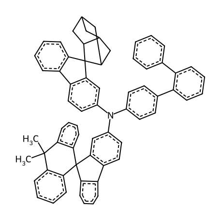 CC1(C)c2ccccc2C2(c3ccccc3-c3ccc(N(c4ccc(-c5ccccc5-c5ccccc5)cc4)c4ccc5c(c4)C4(c6ccccc6-5)C5CC6CC(C5)C4C6)cc32)c2ccccc21